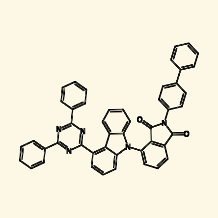 O=C1c2cccc(-n3c4ccccc4c4c(-c5nc(-c6ccccc6)nc(-c6ccccc6)n5)cccc43)c2C(=O)N1c1ccc(-c2ccccc2)cc1